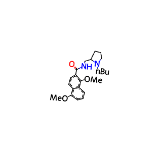 CCCCN1CCCC1CNC(=O)c1ccc2c(OC)cccc2c1OC